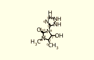 CC1C(O)N(C2=NNNN2)C(=O)N1C